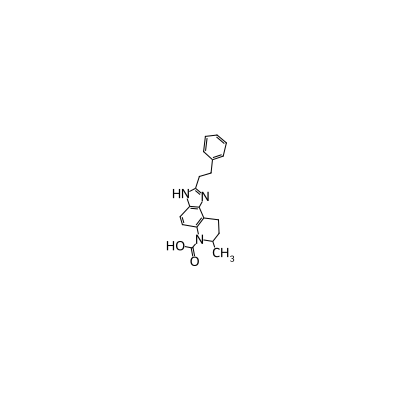 CC1CCc2c(ccc3[nH]c(CCc4ccccc4)nc23)N1C(=O)O